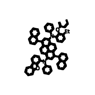 C=C(/C=C\C)Oc1c(CC)cccc1N(c1ccccc1)c1cc(-c2cccc3ccccc23)c2ccc3c(N(c4ccccc4)c4cccc5c4oc4ccccc45)cc(-c4cccc5ccccc45)c4ccc1c2c43